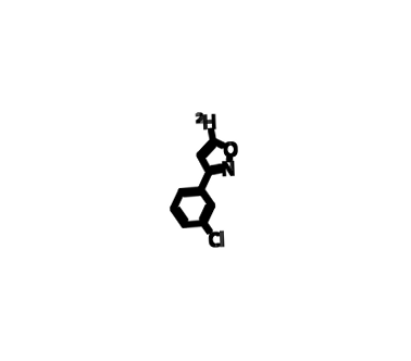 [2H]c1cc(-c2cccc(Cl)c2)no1